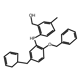 Cc1ccc(Pc2cc(CC3C=CC=CC3)ccc2OCc2ccccc2)c(CO)c1